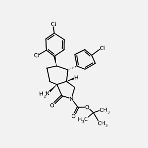 CC(C)(C)OC(=O)N1C[C@H]2[C@@H](c3ccc(Cl)cc3)[C@H](c3ccc(Cl)cc3Cl)CC[C@@]2(N)C1=O